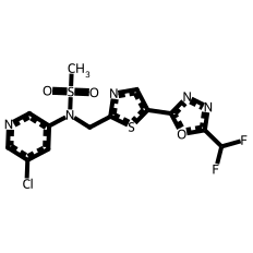 CS(=O)(=O)N(Cc1ncc(-c2nnc(C(F)F)o2)s1)c1cncc(Cl)c1